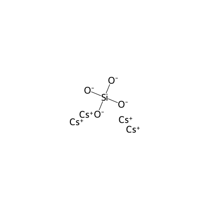 [Cs+].[Cs+].[Cs+].[Cs+].[O-][Si]([O-])([O-])[O-]